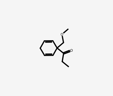 CCC(=O)C1(COC)C=CCC=C1